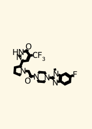 Cn1c(N2CCN(C(=O)CN3CCCC3c3cc(C(F)(F)F)c(=O)[nH]n3)CC2)nc2ccc(F)cc21